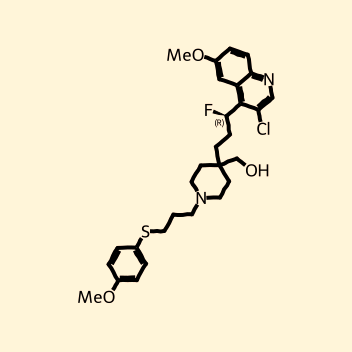 COc1ccc(SCCCN2CCC(CO)(CC[C@@H](F)c3c(Cl)cnc4ccc(OC)cc34)CC2)cc1